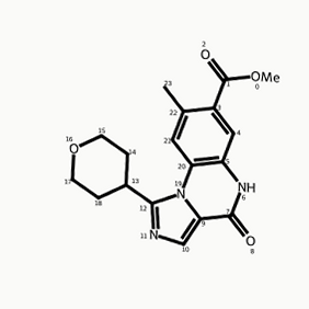 COC(=O)c1cc2[nH]c(=O)c3cnc(C4CCOCC4)n3c2cc1C